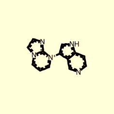 c1cn2ccnc2[n+](-c2c[nH]c3ccncc23)c1